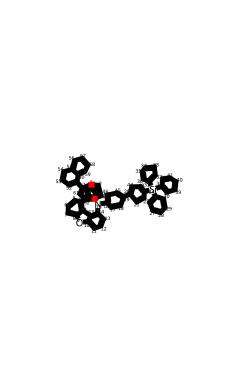 c1ccc(-c2cccc3oc4cccc(N(c5ccc(-c6ccc([Si](c7ccccc7)(c7ccccc7)c7ccccc7)cc6)cc5)c5ccc(-c6cccc7ccccc67)cc5)c4c23)cc1